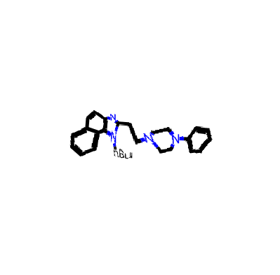 CCCCn1c(CCN2CCN(c3ccccc3)CC2)nc2ccc3ccccc3c21